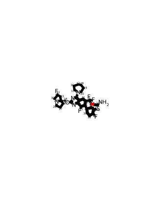 Nc1nc2c(-c3c(C(F)(F)F)cc4c(N5CCCCCC5)nc(OC[C@@]56CCCN5C[C@H](F)C6)nc4c3F)ccc(F)c2s1